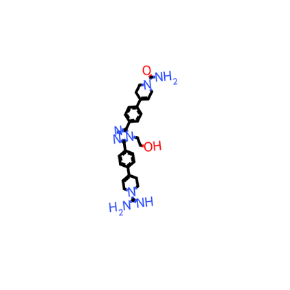 N=C(N)N1CC=C(c2ccc(-c3nnc(-c4ccc(C5=CCN(C(N)=O)CC5)cc4)n3CCO)cc2)CC1